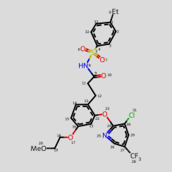 CCc1ccc(S(=O)(=O)NC(=O)CCc2ccc(OCCOC)cc2Oc2ncc(C(F)(F)F)cc2Cl)cc1